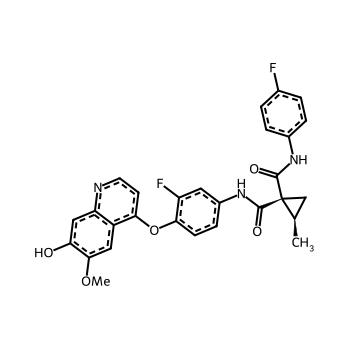 COc1cc2c(Oc3ccc(NC(=O)[C@@]4(C(=O)Nc5ccc(F)cc5)C[C@H]4C)cc3F)ccnc2cc1O